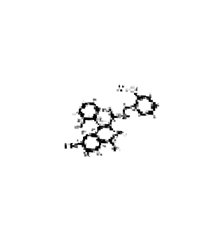 COc1ccccc1CNC(=O)c1c(-c2ccccc2C)c2cc(Cl)ccc2c(=O)n1C